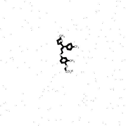 Cc1ccc(/C(=C/CSc2ccc(OCC(=O)O)c(C)c2)c2ccc(C(F)(F)F)cc2)s1